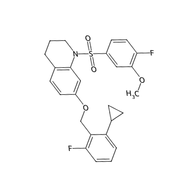 COc1cc(S(=O)(=O)N2CCCc3ccc(OCc4c(F)cccc4C4CC4)cc32)ccc1F